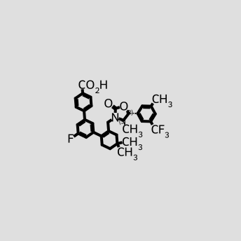 Cc1cc([C@H]2OC(=O)N(CC3=C(c4cc(F)cc(-c5ccc(C(=O)O)cc5)c4)CCC(C)(C)C3)[C@H]2C)cc(C(F)(F)F)c1